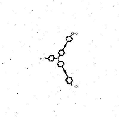 Cc1ccc(N(c2ccc(C#Cc3ccc(C=O)cc3)cc2)c2ccc(C#Cc3ccc(C=O)cc3)cc2)cc1